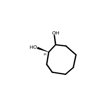 OC1CCCCCC[C@H]1O